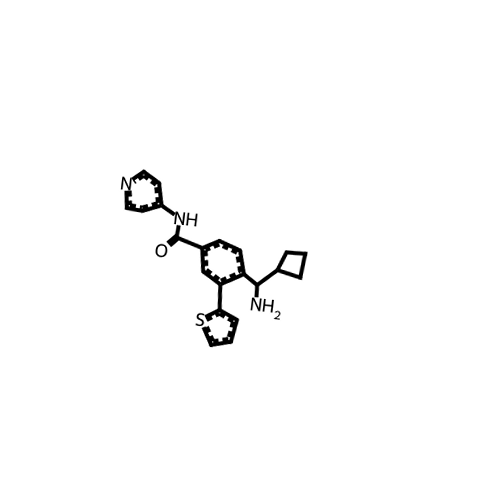 NC(c1ccc(C(=O)Nc2ccncc2)cc1-c1cccs1)C1CCC1